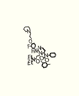 CCN(CC)C(=O)CCN1C(Nc2ccc(OCCCN3CCCCC3)c(F)c2)=NC=CC1N(C(=O)Oc1c(C)cccc1C)c1ccccc1